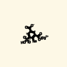 O=C([O-])c1cc(C(=O)[O-])[c]([Na])c(S(=O)(=O)O)c1.[Mg+2]